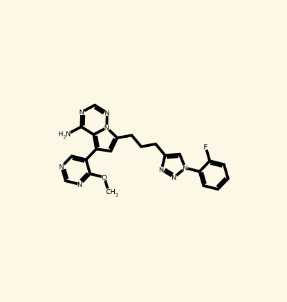 COc1ncncc1-c1cc(CCCc2cn(-c3ccccc3F)nn2)n2ncnc(N)c12